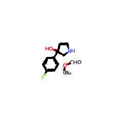 CC(C)(C)OC=O.OC1(c2ccc(F)cc2)CCNC1